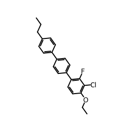 CCCc1ccc(-c2ccc(-c3ccc(OCC)c(Cl)c3F)cc2)cc1